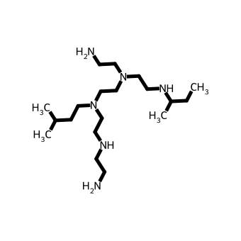 CCC(C)NCCN(CCN)CCN(CCNCCN)CCC(C)C